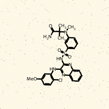 COc1ccc(Cl)c(Nc2nc3ccccc3nc2NS(=O)(=O)c2cccc(N(C)C(C)(C)C(N)=O)c2)c1